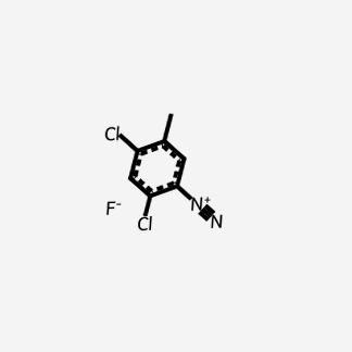 Cc1cc([N+]#N)c(Cl)cc1Cl.[F-]